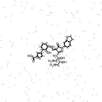 CC1=NN(c2ccc3c(c2)CCC3)C(=O)C1=NNc1cccc(-c2csc(C(=O)O)c2)c1O.NCCO.NCCO